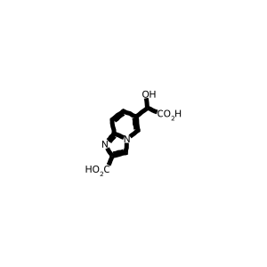 O=C(O)c1cn2cc(C(O)C(=O)O)ccc2n1